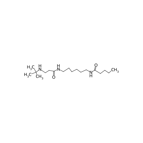 CCCCC(=O)NCCCCCCNC(=O)CCNC(C)(C)C